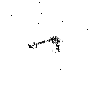 CC(=O)OCc1ccc(NC(=O)[C@@H](C)NC(=O)[C@@H](C)NC(=O)CCOCCOCCOCCOCCNC(=O)CCN2C(=O)C=CC2=O)cc1